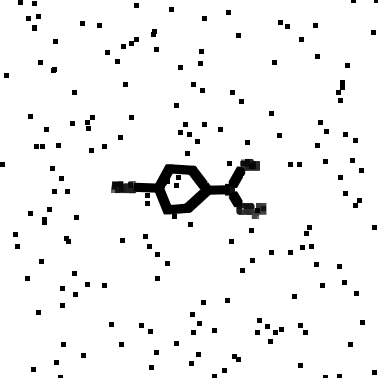 CSC1CCC(N(C(=O)O)C(C)(C)C)CC1